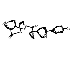 O=C1OC2(CCN(C(=O)C3(c4ccc(-c5ccc(Cl)cc5)nc4)CC3)C2)c2ccncc21